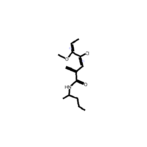 C=C(/C=C(Cl)\C(=C/C)OC)C(=O)NC(C)CCC